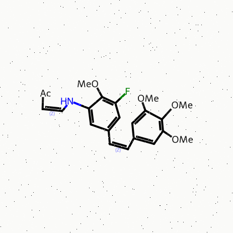 COc1cc(/C=C\c2cc(F)c(OC)c(N/C=C\C(C)=O)c2)cc(OC)c1OC